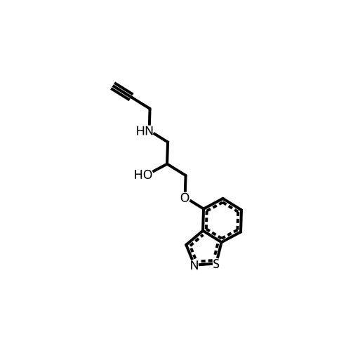 C#CCNCC(O)COc1cccc2sncc12